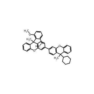 COc1cccc(OC)c1C1(C)c2ccccc2Oc2cc(-c3ccc4c(c3)Oc3ccccc3C4(C)C3CCCCC3)ccc21